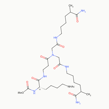 COC(=O)N[C@@H](CCCCNC(C)=O)C(=O)NCCC(=O)N(CC(=O)NCCCCC(C)C(N)=O)CC(=O)NCCCCC(C)C(N)=O